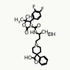 CC(CCN1CCC(C(=O)O)(c2ccccc2)CC1)NC(=O)N1C(=O)OC(C)(C)C1c1ccc(F)c(F)c1.Cl